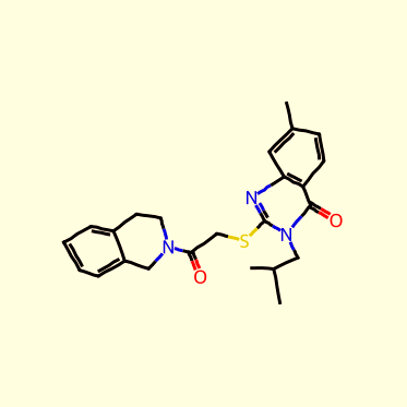 Cc1ccc2c(=O)n(CC(C)C)c(SCC(=O)N3CCc4ccccc4C3)nc2c1